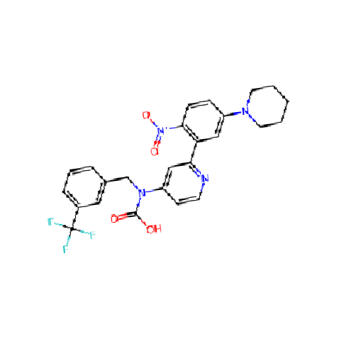 O=C(O)N(Cc1cccc(C(F)(F)F)c1)c1ccnc(-c2cc(N3CCCCC3)ccc2[N+](=O)[O-])c1